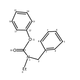 [CH2]CN(Cc1ccccc1)C(=O)Oc1ccccc1